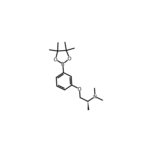 C[C@@H](COc1cccc(B2OC(C)(C)C(C)(C)O2)c1)N(C)C